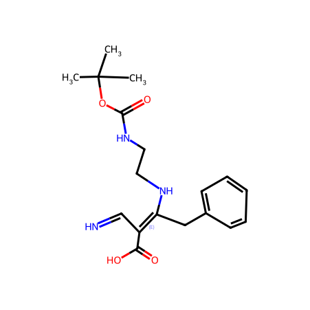 CC(C)(C)OC(=O)NCCN/C(Cc1ccccc1)=C(\C=N)C(=O)O